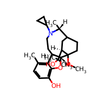 COC12CCC(C[C@@H]1C(C)(C)O)[C@@H](C)N(C1CC1)CC[C@@H]1c3c(C)ccc(O)c3O[C@H]12